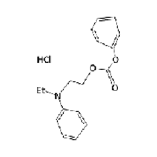 CCN(CCOC(=O)Oc1ccccc1)c1ccccc1.Cl